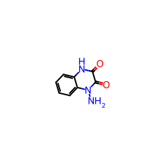 Nn1c(=O)c(=O)[nH]c2ccccc21